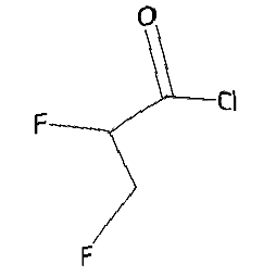 O=C(Cl)C(F)CF